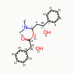 CN(C)C(C[C@@H](O)c1ccccc1)OC(=O)[C@H](O)c1ccccc1